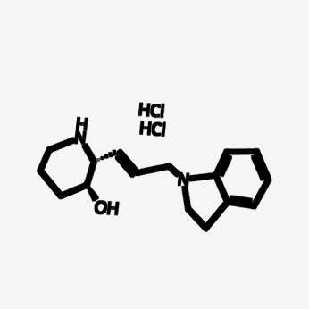 Cl.Cl.O[C@H]1CCCN[C@@H]1/C=C/CN1CCc2ccccc21